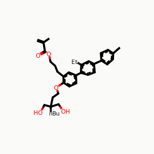 C=C(C)C(=O)OCCCc1cc(-c2ccc(-c3ccc(C)cc3)cc2CC)ccc1OCCC(CO)(CO)CCCC